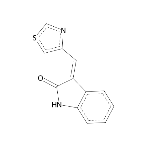 O=C1Nc2ccccc2/C1=C/c1cscn1